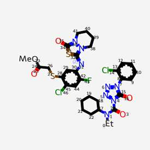 CCN(C(=O)n1nnn(-c2ccccc2Cl)c1=O)C1CCCCC1.COC(=O)CSc1cc(/N=c2\sc(=O)n3n2CCCC3)c(F)cc1Cl